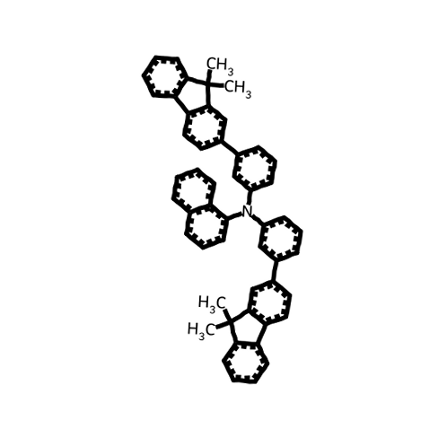 CC1(C)c2ccccc2-c2ccc(-c3cccc(N(c4cccc(-c5ccc6c(c5)C(C)(C)c5ccccc5-6)c4)c4cccc5ccccc45)c3)cc21